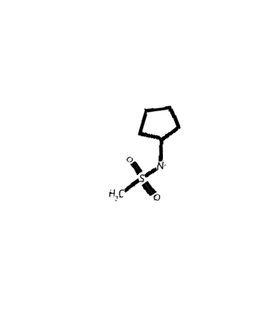 CS(=O)(=O)[N]C1CCCC1